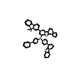 CC1(C)c2ccccc2-c2ccc(-c3cc(N(c4ccc(-c5ccccc5)cc4)c4ccc(-c5cccc6c5sc5ccccc56)cc4)c4oc5c6ccccc6ccc5c4c3)cc21